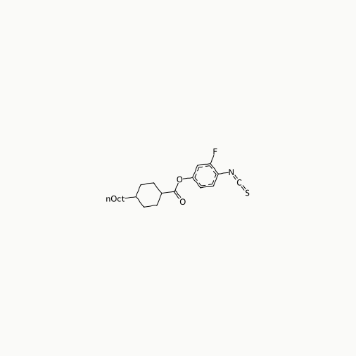 CCCCCCCCC1CCC(C(=O)Oc2ccc(N=C=S)c(F)c2)CC1